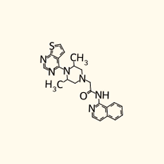 CC1CN(CC(=O)Nc2nccc3ccccc23)CC(C)N1c1ncnc2sccc12